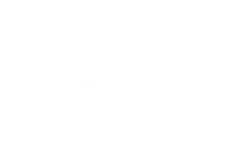 OC(Cc1[c]cccc1)c1ccccc1